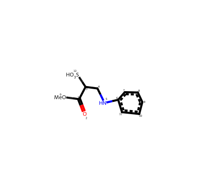 COC(=O)C(CNc1ccccc1)S(=O)(=O)O